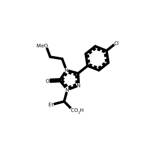 CCC(C(=O)O)n1nc(-c2ccc(Cl)cc2)n(CCOC)c1=O